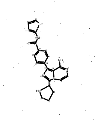 Nc1nccn2c(C3CCCN3)nc(-c3ccc(C(=O)Nc4nccs4)cc3)c12